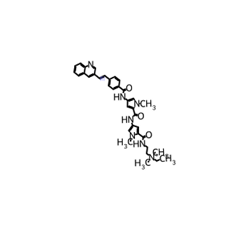 CC[N+](C)(C)CCNC(=O)c1cc(NC(=O)c2cc(NC(=O)c3ccc(/C=C/c4cnc5ccccc5c4)cc3)cn2C)cn1C